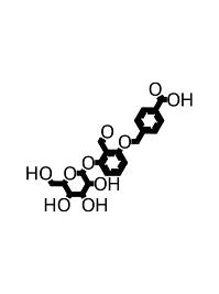 O=Cc1c(OCc2ccc(C(=O)O)cc2)cccc1OC1OC(CO)C(O)C(O)C1O